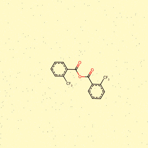 O=C(OC(=O)c1ccccc1C(F)(F)F)c1ccccc1C(F)(F)F